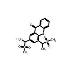 CC(c1cc(C(C)S(C)(=O)=O)c2sc3ccccc3c(=O)c2c1)S(C)(=O)=O